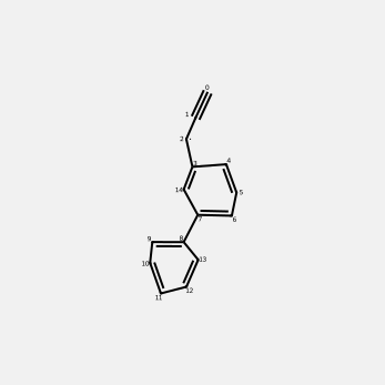 C#C[CH]c1cccc(-c2ccccc2)c1